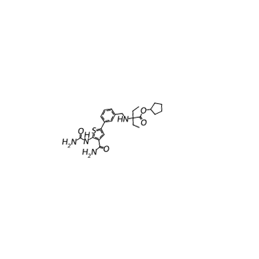 CCC(CC)(NCc1cccc(-c2cc(C(N)=O)c(NC(N)=O)s2)c1)C(=O)OC1CCCC1